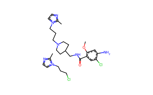 COc1cc(N)c(Cl)cc1C(=O)NCC1CCN(CCCn2ccnc2C)CC1.Cc1nccn1CCCCl